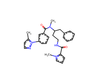 Cc1ccnn1-c1cccc(C(=O)N(C)C(CCNC(=O)c2cccn2C)Cc2ccccc2)c1